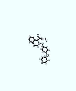 NC(=O)C1c2cc[c]cc2CCN1Cc1ccc(Oc2ccccc2)cc1